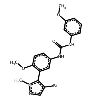 COc1cccc(NC(=O)Nc2ccc(OC)c(-c3c(Br)cnn3C)c2)c1